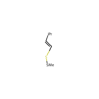 CSSC=CC(C)C